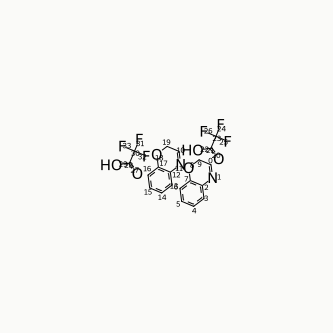 C1=Nc2ccccc2OC1.C1=Nc2ccccc2OC1.O=C(O)C(F)(F)F.O=C(O)C(F)(F)F